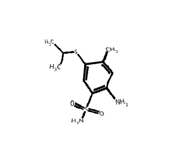 Cc1cc(N)c(S(N)(=O)=O)cc1SC(C)C